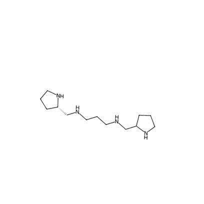 C(CNCC1CCCN1)CNC[C@@H]1CCCN1